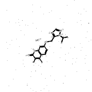 Cc1c(C)c2ccc(OCc3ncnn3C(C)C)cc2oc1=O.Cl